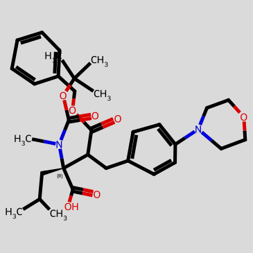 CC(C)C[C@](C(=O)O)(C(Cc1ccc(N2CCOCC2)cc1)C(=O)OCc1ccccc1)N(C)C(=O)OC(C)(C)C